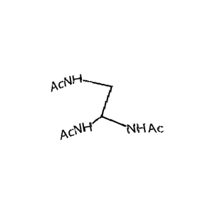 CC(=O)NCC(NC(C)=O)NC(C)=O